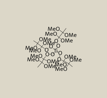 COC(C)(OC)C(OC)(OC)O[O][Ti]([O]OC(OC)(OC)C(C)(OC)OC)([O]OC(OC)(OC)C(C)(OC)OC)[O]OC(OC)(OC)C(C)(OC)OC